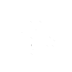 Cc1nnnn1-c1ccc(F)c(Nc2ncc(C(F)(F)F)c(NC[C@@H]3CCCN4CCCC[C@H]34)n2)c1